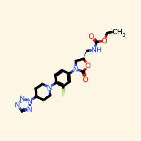 CCOC(=O)NC[C@H]1CN(c2ccc(N3CCC(n4ncnn4)CC3)c(F)c2)C(=O)O1